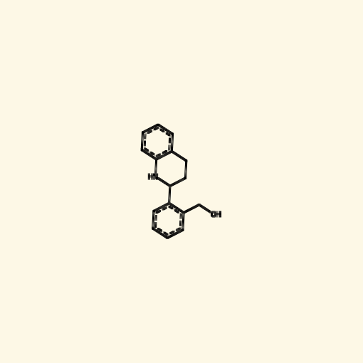 OCc1ccccc1C1CCc2ccccc2N1